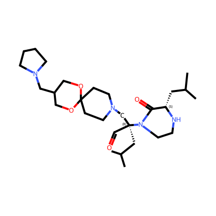 CC(C)C[C@@H]1NCCN([C@](C=O)(CC(C)C)CN2CCC3(CC2)OCC(CN2CCCC2)CO3)C1=O